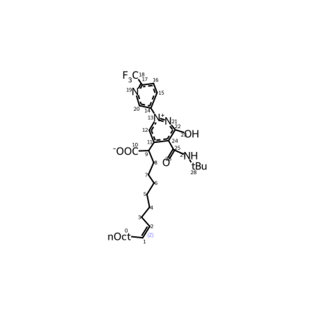 CCCCCCCC/C=C\CCCCCCC(C(=O)[O-])c1c[n+](-c2ccc(C(F)(F)F)nc2)nc(O)c1C(=O)NC(C)(C)C